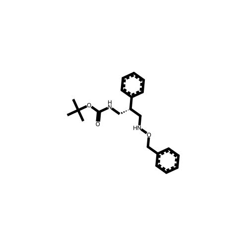 CC(C)(C)OC(=O)NC[C@@H](CNOCc1ccccc1)c1ccccc1